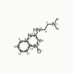 CN(C)CCNc1nc2ccccc2[n+]([O-])n1